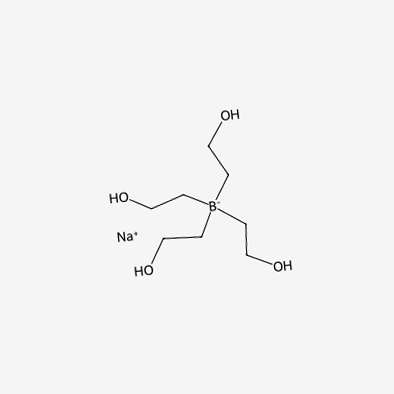 OCC[B-](CCO)(CCO)CCO.[Na+]